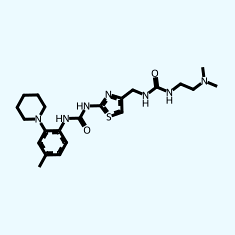 Cc1ccc(NC(=O)Nc2nc(CNC(=O)NCCN(C)C)cs2)c(N2CCCCC2)c1